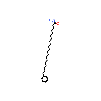 NC(=O)CCCCCCCCCCCCCCCCCCCc1ccccc1